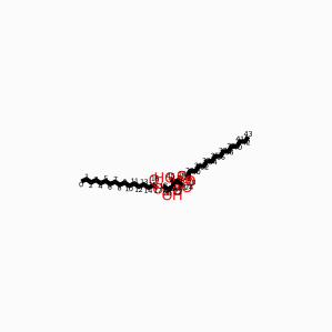 CCCCCCCCCCCCCCCC(=O)OC[C@H](O)[C@@H]1OC(=O)C(OC(=O)CCCCCCCCCCCCCCC)=C1O